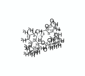 [2H]C1=C([2H])[C@]([2H])(C)[C@H](CCC2C[C@@H](O)C([2H])([2H])C(=O)O2)[C@@H]2C1=C([2H])[C@]([2H])(C([2H])([2H])[2H])C([2H])([2H])C2OC(=O)[C@@]([2H])(C)C([2H])([2H])C([2H])([2H])[2H]